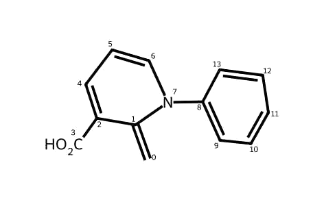 C=C1C(C(=O)O)=CC=CN1c1ccccc1